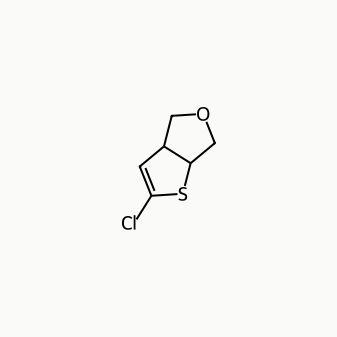 ClC1=CC2COCC2S1